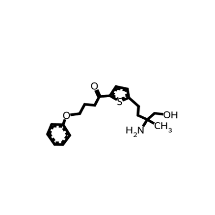 CC(N)(CO)CCc1ccc(C(=O)CCCOc2ccccc2)s1